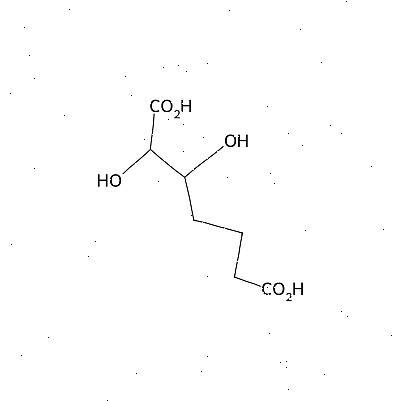 O=C(O)CCCC(O)C(O)C(=O)O